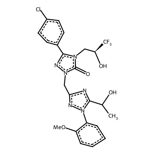 COc1ccccc1-n1nc(Cn2nc(-c3ccc(Cl)cc3)n(C[C@H](O)C(F)(F)F)c2=O)nc1C(C)O